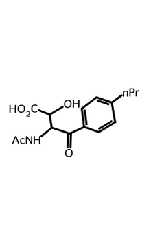 CCCc1ccc(C(=O)C(NC(C)=O)C(O)C(=O)O)cc1